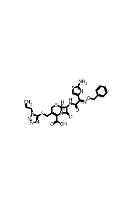 C=CCn1nnnc1SCC1=C(C(=O)O)N2C(=O)C(NC(=O)/C(=N/OCc3ccccc3)c3csc(N)n3)[C@H]2SC1